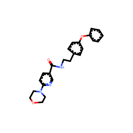 O=C(NCCc1ccc(Oc2ccccc2)cc1)c1ccc(N2CCOCC2)nc1